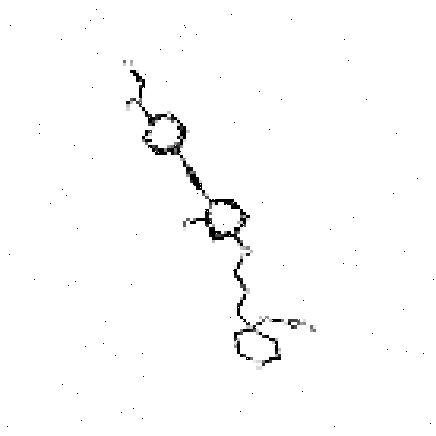 CO[N+]1(CCCOc2ccc(C#Cc3ccc(NC=O)cc3)c(F)c2)CCOCC1